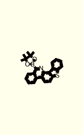 CC1(C)OB(c2nc3c(ccc4sc5ccccc5c43)c3ccccc23)OC1(C)C